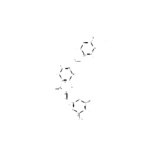 O=C(O)c1ccc(COc2ccc3c(c2)C/C(=C\c2cc(Cl)cc(Cl)c2)C3O)cc1